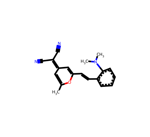 CC1=CC(=C(C#N)C#N)C=C(C=Cc2ccccc2N(C)C)O1